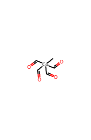 [CH3][Co]([CH]=O)([CH]=O)([CH]=O)[CH]=O